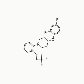 Fc1ccc(OC2CCN(C3=CC=CCN3C3CC(F)(F)C3)CC2)c(F)c1